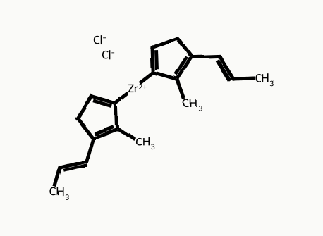 CC=CC1=C(C)[C]([Zr+2][C]2=CCC(C=CC)=C2C)=CC1.[Cl-].[Cl-]